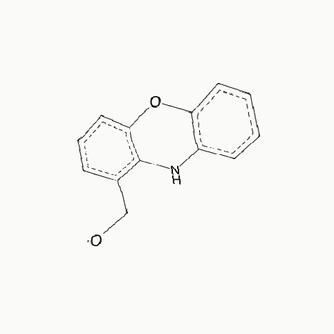 [O]Cc1cccc2c1Nc1ccccc1O2